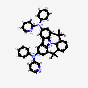 CC1(C)c2cccc3c2-n2c4c1cc(N(c1ccccc1)c1cccnc1)cc4c1cc(N(c4ccccc4)c4ccccn4)cc(c12)C3(C)C